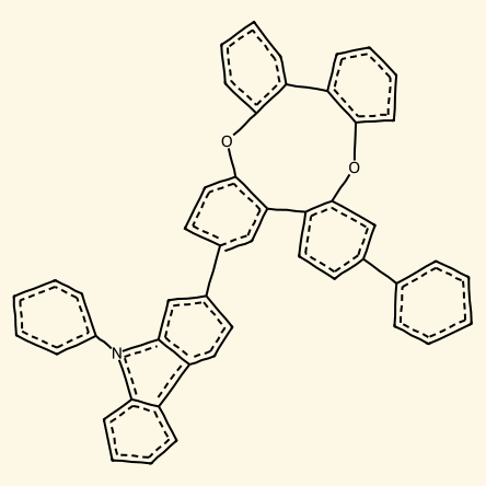 c1ccc(-c2ccc3c(c2)Oc2ccccc2-c2ccccc2Oc2ccc(-c4ccc5c6ccccc6n(-c6ccccc6)c5c4)cc2-3)cc1